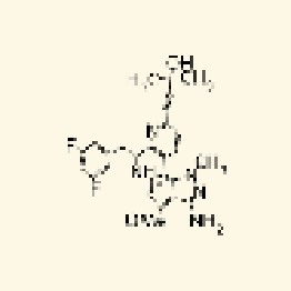 COc1ccc(-c2ccc(C#CC(C)(C)O)nc2C(N)Cc2cc(F)cc(F)c2)c2c1c(N)nn2C